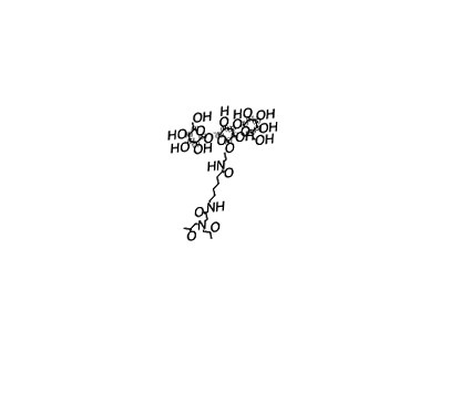 CC(=O)CN(CC(C)=O)CC(=O)NCCCCCC(=O)NCCO[C@H]1O[C@H](CO[C@H]2O[C@H](CO)[C@@H](O)[C@H](O)[C@@H]2O)[C@@H](O)[C@H](O[C@H]2O[C@H](CO)[C@@H](O)[C@H](O)[C@@H]2O)[C@@H]1O